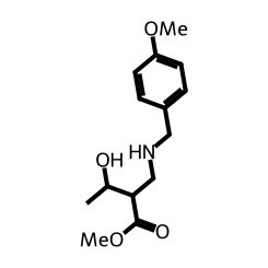 COC(=O)C(CNCc1ccc(OC)cc1)C(C)O